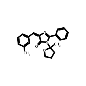 Cc1cccc(C=C2N=C(c3ccccc3)N(C3(C)CCCO3)C2=O)c1